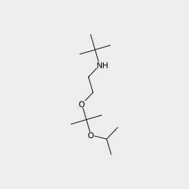 CC(C)OC(C)(C)OCCNC(C)(C)C